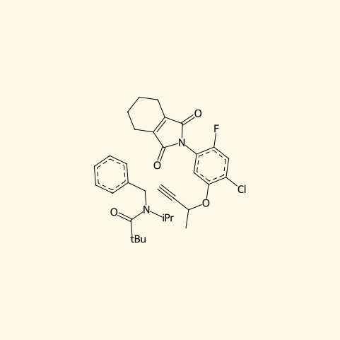 C#CC(C)Oc1cc(N2C(=O)C3=C(CCCC3)C2=O)c(F)cc1Cl.CC(C)N(Cc1ccccc1)C(=O)C(C)(C)C